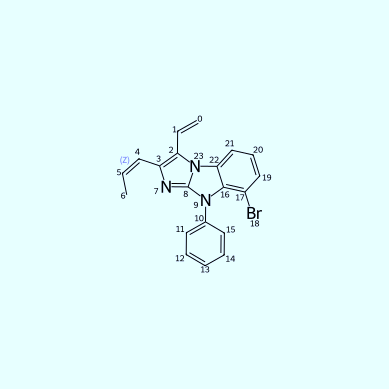 C=Cc1c(/C=C\C)nc2n(-c3ccccc3)c3c(Br)cccc3n12